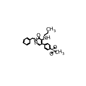 CCCNc1c(-c2ccc(S(C)(=O)=O)cc2)cnn(Cc2ccccc2)c1=O